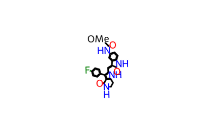 COCC(=O)Nc1ccc2c(c1)C(=Cc1[nH]c3c(c1-c1ccc(F)cc1)C(=O)NCC3)C(=O)N2